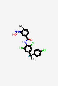 N#Cc1ccc(C(=O)Nc2c(Cl)cc(C(F)(c3ccc(Cl)cc3)C(F)(F)F)cc2Cl)cc1NO